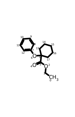 CCOC(=O)C1(Oc2[c]cccc2)CCCCC1